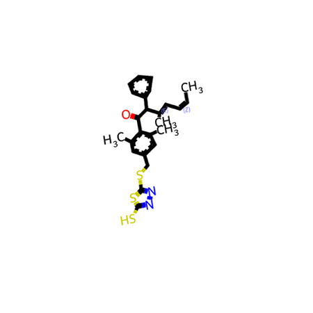 C/C=C\C=C(/C)C(C(=O)c1c(C)cc(CSc2nnc(S)s2)cc1C)c1ccccc1